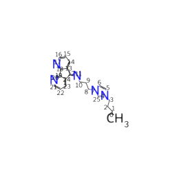 CCCCN1C=CN(CCCN=C2c3cccnc3-c3ncccc32)C1